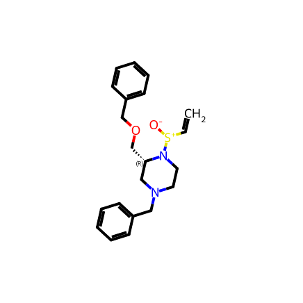 C=C[S+]([O-])N1CCN(Cc2ccccc2)C[C@@H]1COCc1ccccc1